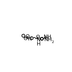 N=C(N)c1ccc(NC(=O)CCC2CCN(CC(=O)OC3CCCCC3)CC2)cc1